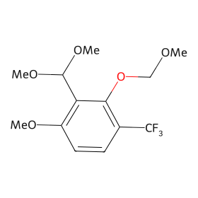 COCOc1c(C(F)(F)F)ccc(OC)c1C(OC)OC